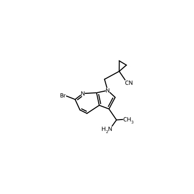 CC(N)c1cn(CC2(C#N)CC2)c2nc(Br)ccc12